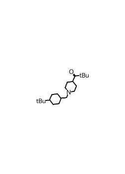 CC(C)(C)C(=O)C1CCN(CC2CCC(C(C)(C)C)CC2)CC1